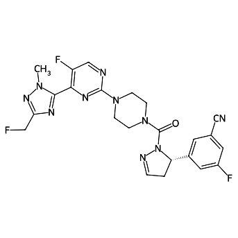 Cn1nc(CF)nc1-c1nc(N2CCN(C(=O)N3N=CC[C@H]3c3cc(F)cc(C#N)c3)CC2)ncc1F